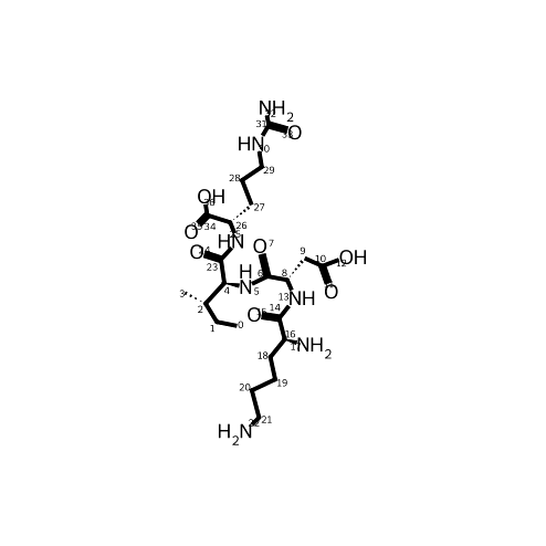 CC[C@H](C)[C@H](NC(=O)[C@H](CC(=O)O)NC(=O)[C@@H](N)CCCCN)C(=O)N[C@@H](CCCNC(N)=O)C(=O)O